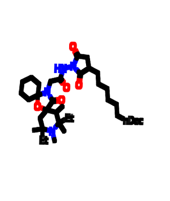 CCCCCCCCCCCCCCCCC1CC(=O)N(NC(=O)CN2C(=O)C3(CC(C)(CC)N(C)C(C)(CC)C3C)OC23CCCCC3)C1=O